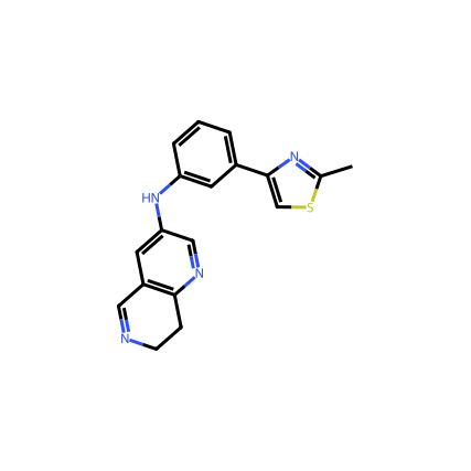 Cc1nc(-c2cccc(Nc3cnc4c(c3)C=NCC4)c2)cs1